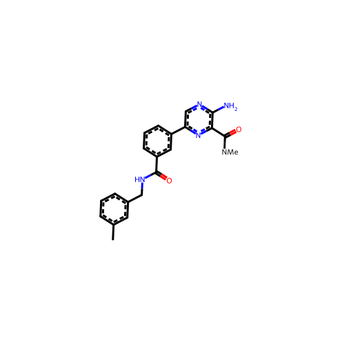 CNC(=O)c1nc(-c2cccc(C(=O)NCc3cccc(C)c3)c2)cnc1N